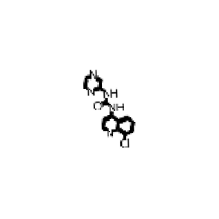 O=C(Nc1cnccn1)Nc1ccnc2c(Cl)cccc12